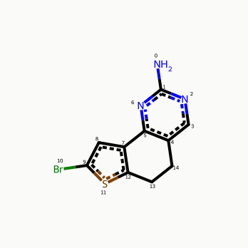 Nc1ncc2c(n1)-c1cc(Br)sc1CC2